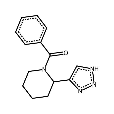 O=C(c1ccccc1)N1CCCCC1c1c[nH]nn1